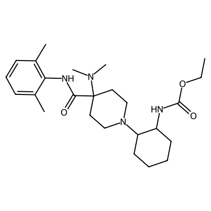 CCOC(=O)NC1CCCCC1N1CCC(C(=O)Nc2c(C)cccc2C)(N(C)C)CC1